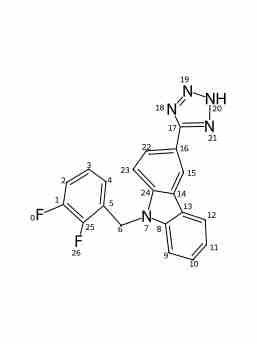 Fc1cccc(Cn2c3ccccc3c3cc(-c4nn[nH]n4)ccc32)c1F